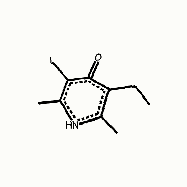 CCc1c(C)[nH]c(C)c(I)c1=O